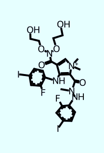 CN(Nc1ccc(I)cc1F)C(=O)C1=C(Nc2ccc(I)cc2F)C(C(=O)N(OCCO)OCCO)=C[N+]1(C)C